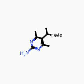 COC(C)c1c(C)nc(N)nc1C